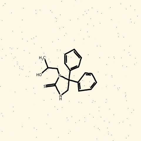 CC(O)CN1C(=S)NCC1(c1ccccc1)c1ccccc1